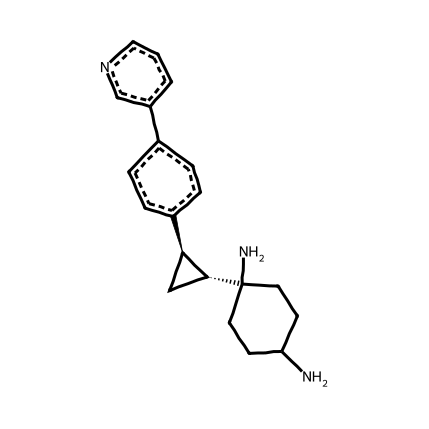 NC1CCC(N)([C@@H]2C[C@H]2c2ccc(-c3cccnc3)cc2)CC1